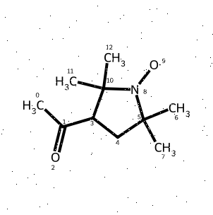 CC(=O)C1CC(C)(C)N([O])C1(C)C